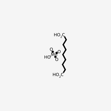 O=C(O)CCCCCCCC(=O)O.[O]=[Mn](=[O])(=[O])[OH]